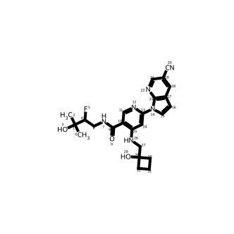 CC(C)(O)C(F)CNC(=O)c1cnc(-n2ccc3cc(C#N)cnc32)cc1NCC1(O)CCC1